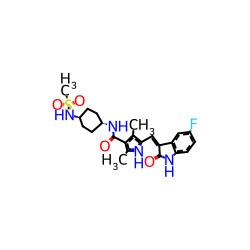 Cc1[nH]c(/C=C2\C(=O)Nc3ccc(F)cc32)c(C)c1C(=O)N[C@H]1CC[C@H](NS(C)(=O)=O)CC1